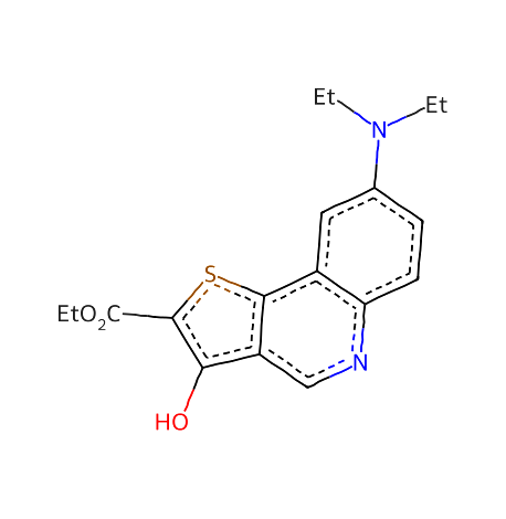 CCOC(=O)c1sc2c(cnc3ccc(N(CC)CC)cc32)c1O